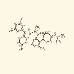 CCOC(=O)C(c1cccc(C)c1C1CCC(OC(C)C(F)(F)F)CC1)N(C)CC[C@@H](c1cc(F)cc(Cl)c1)N1CCN(C(C)C)CC1